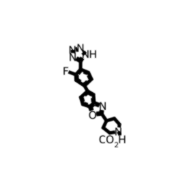 O=C(O)N1CCC(c2nc3cc(-c4ccc(-c5nnn[nH]5)c(F)c4)ccc3o2)CC1